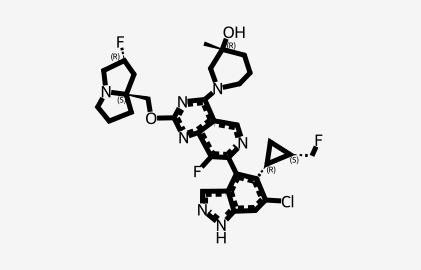 C[C@@]1(O)CCCN(c2nc(OC[C@@]34CCCN3C[C@H](F)C4)nc3c(F)c(-c4c([C@@H]5C[C@@H]5CF)c(Cl)cc5[nH]ncc45)ncc23)C1